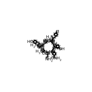 C[C@@H](O)[C@@H]1NC(=O)[C@H](CCCCN)NC(=O)[C@@H](Cc2ccc(C(N)=O)cc2)NC(=O)[C@H](Cc2ccc(O)cc2)NC(=O)[C@H](NC(=O)[C@@H](N)Cc2ccc(Cl)cc2)Cc2cn(nn2)C[C@@H](C(=O)N[C@H](Cc2ccc(O)cc2)C(N)=O)NC1=O